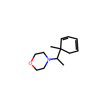 CC(N1CCOCC1)C1(C)[CH]C=CC=C1